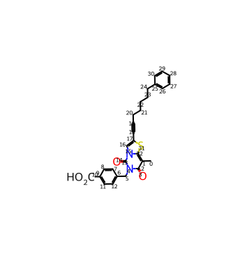 Cc1c(=O)n(Cc2ccc(C(=O)O)cc2)c(=O)n2cc(C#CCCCCCc3ccccc3)sc12